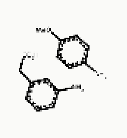 COc1ccc(N)cc1.Nc1cccc(CC(=O)O)c1